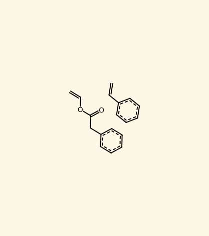 C=COC(=O)Cc1ccccc1.C=Cc1ccccc1